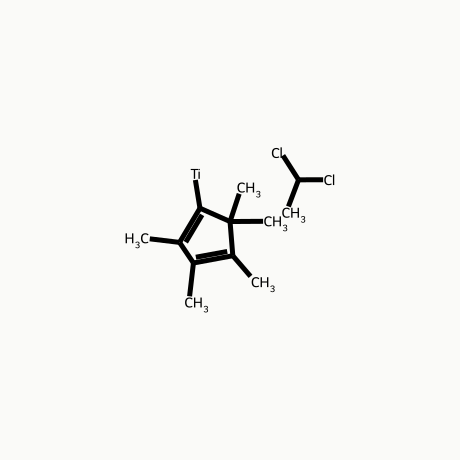 CC(Cl)Cl.CC1=C(C)C(C)(C)[C]([Ti])=C1C